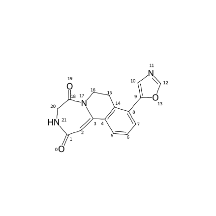 O=C1C=C2c3cccc(-c4cnco4)c3CCN2C(=O)CN1